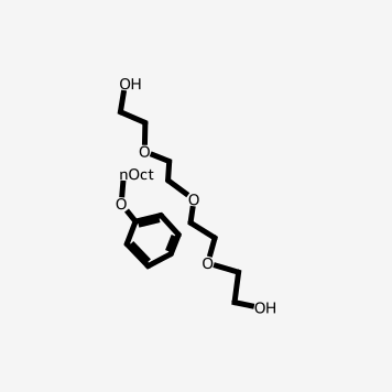 CCCCCCCCOc1ccccc1.OCCOCCOCCOCCO